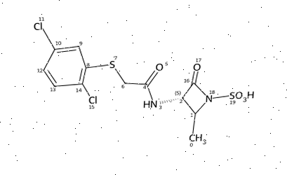 CC1[C@H](NC(=O)CSc2cc(Cl)ccc2Cl)C(=O)N1S(=O)(=O)O